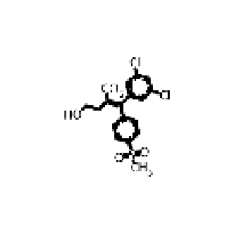 CS(=O)(=O)c1ccc(/C(=C(\CCO)C(=O)O)c2cc(Cl)cc(Cl)c2)cc1